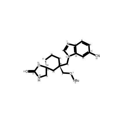 CCCCOC[C@]1(Cn2cnc3ccc(C#N)cc32)CCC[C@@]2(CNC(=O)O2)C1